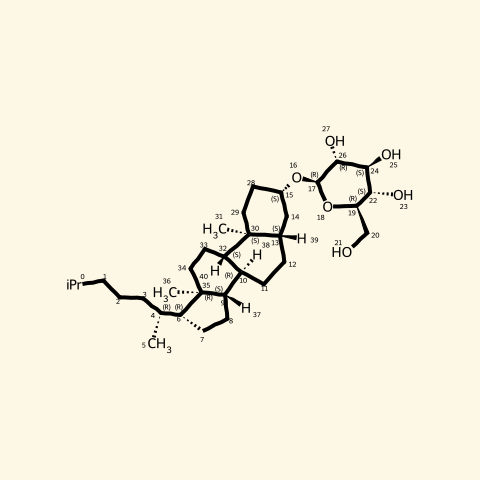 CC(C)CCC[C@@H](C)[C@H]1CC[C@H]2[C@@H]3CC[C@H]4C[C@@H](O[C@@H]5O[C@H](CO)[C@@H](O)[C@H](O)[C@H]5O)CC[C@]4(C)[C@H]3CC[C@]12C